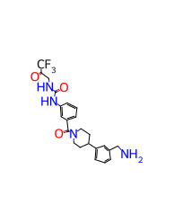 NCc1cccc(C2CCN(C(=O)c3cccc(NC(=O)NCC(=O)C(F)(F)F)c3)CC2)c1